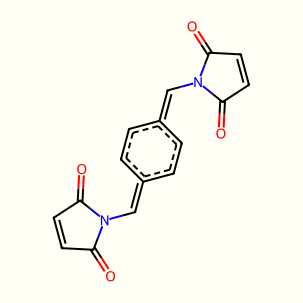 O=C1C=CC(=O)N1C=c1ccc(=CN2C(=O)C=CC2=O)cc1